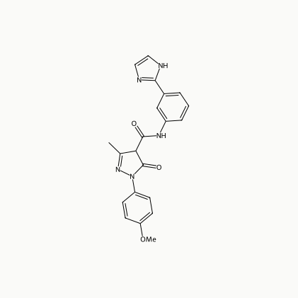 COc1ccc(N2N=C(C)C(C(=O)Nc3cccc(-c4ncc[nH]4)c3)C2=O)cc1